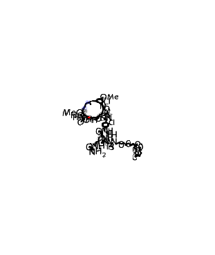 COc1cc2cc(c1Cl)N(C)C(=O)C[C@H](OC(=O)[C@H](C)N(C)C(=O)c1ccc(NC(=O)[C@H](CCCNC(N)=O)NC(=O)[C@@H](NC(=S)NCCOCCOCCC(=O)ON3C(=O)CCC3=O)C(C)C)cc1Cl)[C@]1(C)O[C@H]1[C@H](C)[C@@H]1C[C@@](O)(NC(=O)O1)[C@H](OC)/C=C/C=C(\C)C2